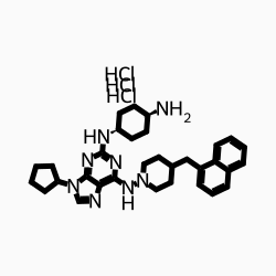 Cl.Cl.Cl.N[C@H]1CC[C@H](Nc2nc(NN3CCC(Cc4cccc5ccccc45)CC3)c3ncn(C4CCCC4)c3n2)CC1